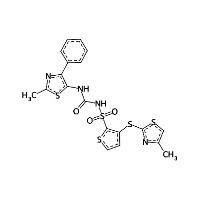 Cc1csc(Sc2ccsc2S(=O)(=O)NC(=O)Nc2sc(C)nc2-c2ccccc2)n1